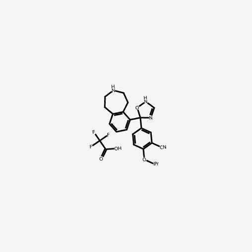 CC(C)Oc1ccc(C2(c3cccc4c3CCNCC4)N=CNO2)cc1C#N.O=C(O)C(F)(F)F